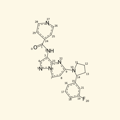 O=C(Nc1cnn2ccc(N3CCCC3c3cccc(F)c3)nc12)c1ccncc1